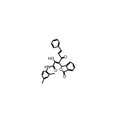 Cc1ccc(NC(=O)/C(O)=C(/C(=O)/C=C/c2ccccc2)C2OC(=O)c3ccccc32)c(C)c1